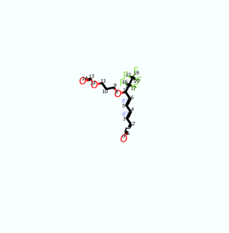 O=C=C/C=C/C=C/C(OCCCOC=O)C(F)(F)C(F)(F)F